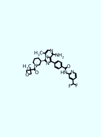 Cc1cnc(N)c2c(-c3ccc(C(=O)Nc4cc(C(F)F)ccn4)cc3)nc([C@@H]3CCCN(C(=O)C4(C)COC4)C3)n12